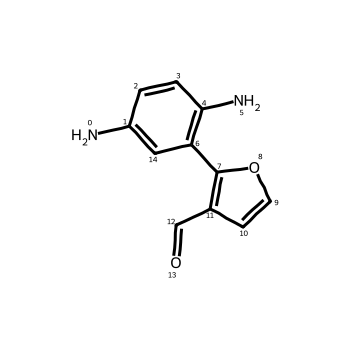 Nc1ccc(N)c(-c2occc2C=O)c1